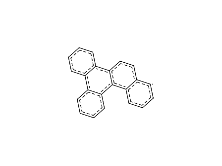 [c]1cccc2c1ccc1c3ccccc3c3ccccc3c21